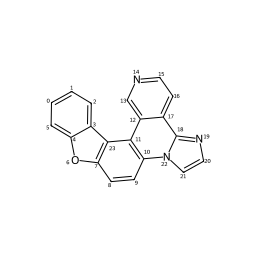 c1ccc2c(c1)oc1ccc3c(c4cnccc4c4nccn34)c12